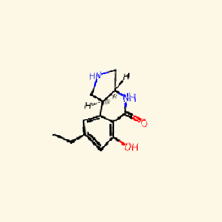 CCc1cc(O)c2c(c1)[C@H]1CNC[C@@H]1NC2=O